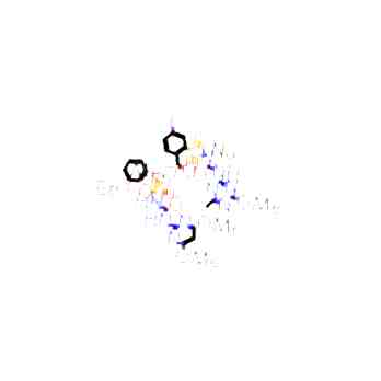 CCOc1ccccc1OS(=O)(=O)NC(=O)Nc1nc(OC)cc(OC)n1.COC(=O)c1ccc(I)cc1S(=O)(=O)[N-]C(=O)Nc1nc(C)nc(OC)n1.[Na+]